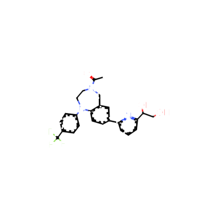 CC(=O)N1CCN(c2ccc(C(F)(F)F)cc2)c2ccc(-c3cccc(C(O)CO)n3)cc2C1